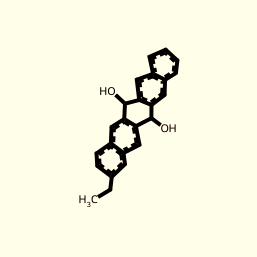 CCc1ccc2cc3c(cc2c1)C(O)c1cc2ccccc2cc1C3O